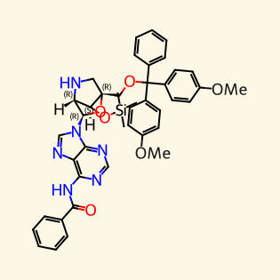 COc1ccc(C(OC[C@@]23CN[C@@H]([C@H](n4cnc5c(NC(=O)c6ccccc6)ncnc54)O2)[C@@H]3O[Si](C)(C)C)(c2ccccc2)c2ccc(OC)cc2)cc1